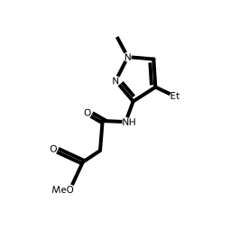 CCc1cn(C)nc1NC(=O)CC(=O)OC